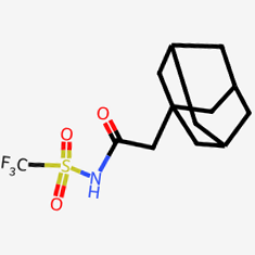 O=C(CC12CC3CC(CC(C3)C1)C2)NS(=O)(=O)C(F)(F)F